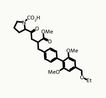 CCOCc1cc(OC)c(-c2ccc(CC(CC(=O)C3CCCN3C(=O)O)C(=O)OC)cc2)c(OC)c1